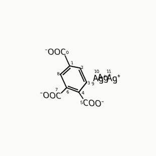 O=C([O-])c1ccc(C(=O)[O-])c(C(=O)[O-])c1.[Ag+].[Ag+].[Ag+]